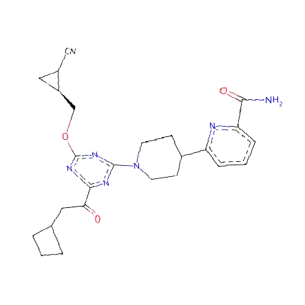 N#CC1C[C@@H]1COc1nc(C(=O)CC2CCC2)nc(N2CCC(c3cccc(C(N)=O)n3)CC2)n1